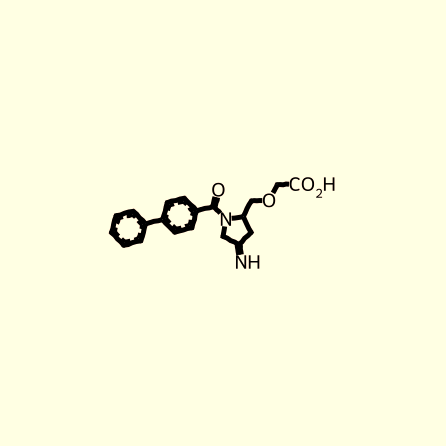 N=C1CC(COCC(=O)O)N(C(=O)c2ccc(-c3ccccc3)cc2)C1